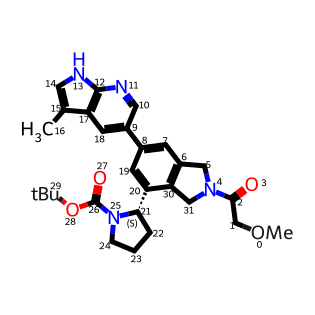 COCC(=O)N1Cc2cc(-c3cnc4[nH]cc(C)c4c3)cc([C@@H]3CCCN3C(=O)OC(C)(C)C)c2C1